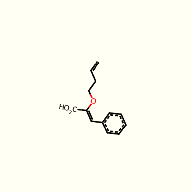 C=CCCOC(=Cc1ccccc1)C(=O)O